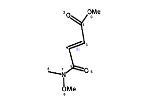 COC(=O)/C=C/C(=O)N(C)OC